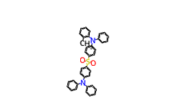 Cc1ccccc1N(c1ccccc1)c1ccc(S(=O)(=O)c2ccc(N(c3ccccc3)c3ccccc3)cc2)cc1